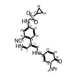 CCCn1cc(N/C=C(\C=N)c2ccc(NS(=O)(=O)C3CC3)cc2C#N)ccc1=O